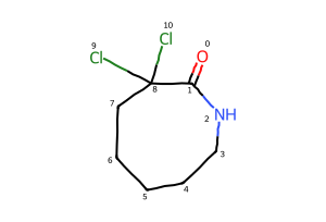 O=C1NCCCCCC1(Cl)Cl